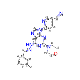 Cc1cccc(C=NNc2nc(N3CCOCC3)nc3c2ncn3-c2ccc(C#N)cn2)c1